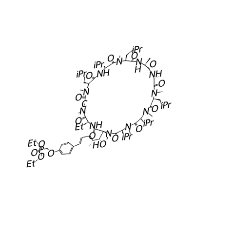 CCOP(=O)(COc1ccc(/C=C/C[C@@H](C)[C@@H](O)[C@H]2C(=O)N[C@@H](CC)C(=O)N(C)CC(=O)N(C)[C@@H](CC(C)C)C(=O)N[C@@H](C(C)C)C(=O)N(C)[C@@H](CC(C)C)C(=O)N[C@@H](C)C(=O)N[C@H](C)C(=O)N(C)[C@@H](CC(C)C)C(=O)N(C)C(C(C)C)C(=O)N(C)[C@@H](C(C)C)C(=O)N2C)cc1)OCC